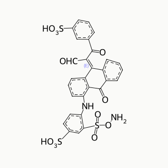 NOS(=O)(=O)c1cc(S(=O)(=O)O)ccc1Nc1cccc2c1C(=O)c1ccccc1/C2=C(/C=O)C(=O)c1cccc(S(=O)(=O)O)c1